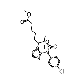 [CH2]CC(CCCCC(=O)OC)n1ccnc1N(c1ccc(Cl)cc1)[SH](=O)=O